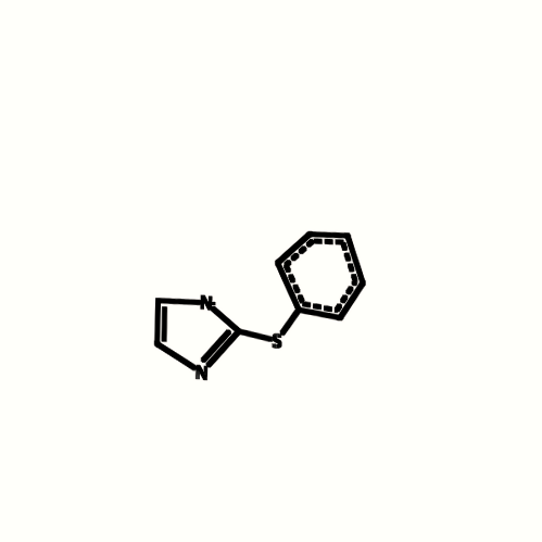 C1=CN=C(Sc2ccccc2)[N]1